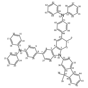 CC1Cc2c(c3cc(-c4ccc(N(c5ccccc5)c5ccccc5)cc4)ccc3n2-c2ccc3c(c2)C(C)(C)c2ccccc2-3)C=C1c1ccc(N(c2ccccc2)c2ccccc2)cc1